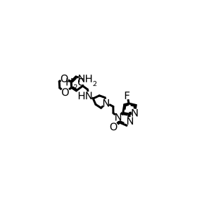 C=C(/C=C1/OCCO/C1=C/N)CNC1CCN(CCn2c(=O)cnc3ncc(F)cc32)CC1